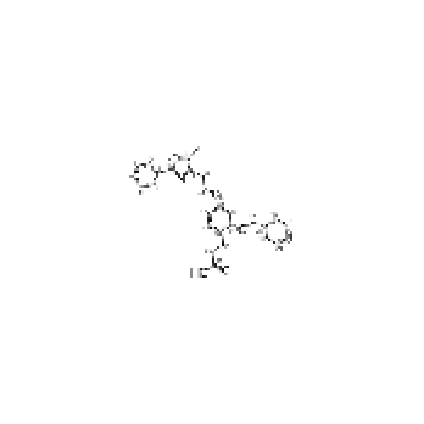 Cc1oc(-c2ccccc2)nc1CCOc1ccc(CCC(=O)O)c(OCc2ccncc2)c1